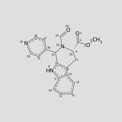 COC(=O)[C@@H]1Cc2c([nH]c3ccccc23)C(c2ccncc2)N1C=O